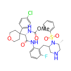 COC(=O)N[C@H](C(=O)Nc1cccc(F)c1CC1CNC[C@@H](C)N1S(=O)(=O)c1ccccc1)C1(c2ccc(Cl)cc2)CCOCC1